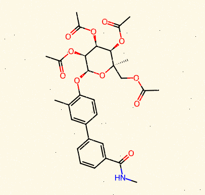 CNC(=O)c1cccc(-c2ccc(O[C@@H]3O[C@](C)(COC(C)=O)[C@H](OC(C)=O)[C@H](OC(C)=O)[C@@H]3OC(C)=O)c(C)c2)c1